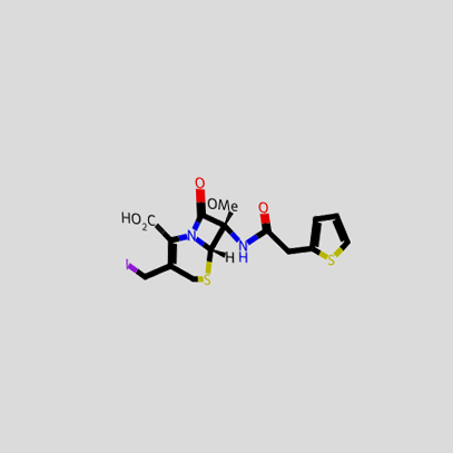 CO[C@]1(NC(=O)Cc2cccs2)C(=O)N2C(C(=O)O)=C(CI)CS[C@H]21